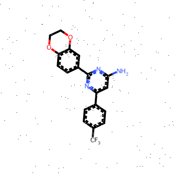 Nc1cc(-c2ccc(C(F)(F)F)cc2)nc(-c2ccc3c(c2)OCCO3)n1